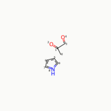 CC(=O)C=O.c1cc[nH]c1